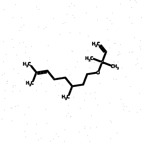 C=C[Si](C)(C)OCCC(C)CCC=C(C)C